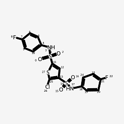 O=S(=O)(Nc1ccc(F)cc1)c1cc(S(=O)(=O)Nc2ccc(F)cc2)c(Cl)s1